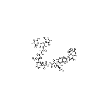 CCC1(O)C(=O)OCc2c1cc1n(c2=O)Cc2cc3c(CN(C)C)c(OC(=O)NCCNC(=O)[C@H](C)NC(=O)[C@H](C)NC(=O)CCC(=O)N(CCN4C(=O)C=CC4=O)CCN4C(=O)C=CC4=O)ccc3nc2-1